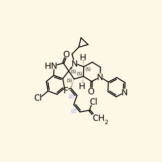 C=C(Cl)/C=C\C=C(/F)[C@H]1[C@@H]2C(=O)N(c3ccncc3)CC[C@@H]2N(CC2CC2)[C@@]12C(=O)Nc1cc(Cl)ccc12